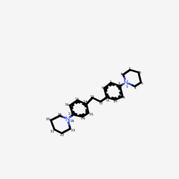 c1cc(N2CCCCC2)ccc1CCc1ccc(N2CCCCC2)cc1